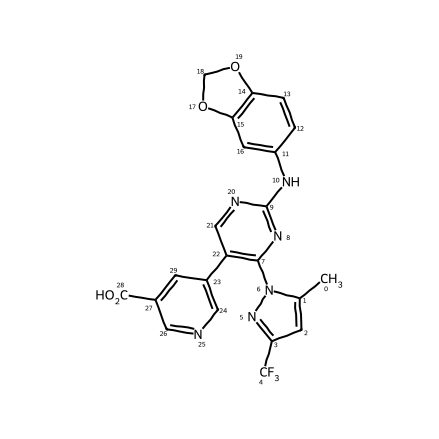 Cc1cc(C(F)(F)F)nn1-c1nc(Nc2ccc3c(c2)OCO3)ncc1-c1cncc(C(=O)O)c1